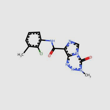 Cc1cccc(NC(=O)c2ncn3c(=O)n(C)nnc23)c1Cl